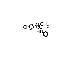 CC1=N[N+](c2ccc(Cl)cc2)=CC1=CNc1ccccc1